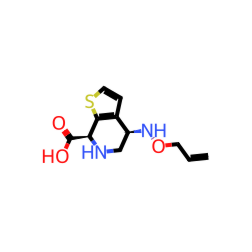 C=CCON[C@H]1CN[C@@H](C(=O)O)c2sccc21